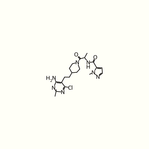 Cc1nc(N)c(CCC2CCN(C(=O)C(C)NC(=O)c3ccnn3C)CC2)c(Cl)n1